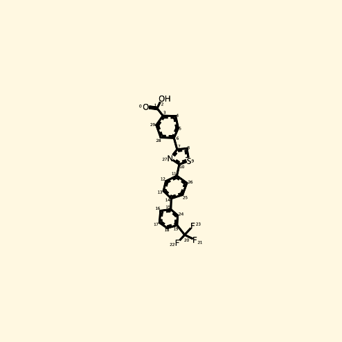 O=C(O)c1ccc(-c2csc(-c3ccc(-c4cccc(C(F)(F)F)c4)cc3)n2)cc1